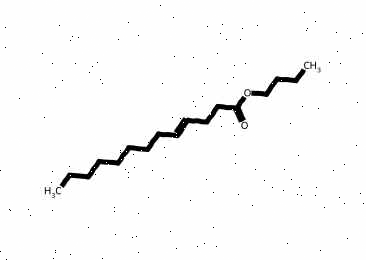 CCCCCCCCC=CCCC(=O)OCCCC